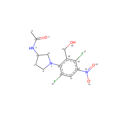 CC(=O)NC1CCN(c2c(F)cc([N+](=O)[O-])c(F)c2CO)C1